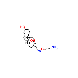 C[C@]12CCC(O)CC1CC[C@@H]1[C@H]2CC[C@]2(C)C(C/C=N\OCCCN)CC[C@@]12O